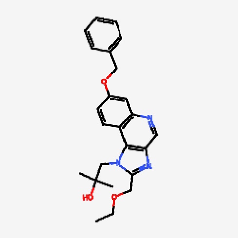 CCOCc1nc2cnc3cc(OCc4ccccc4)ccc3c2n1CC(C)(C)O